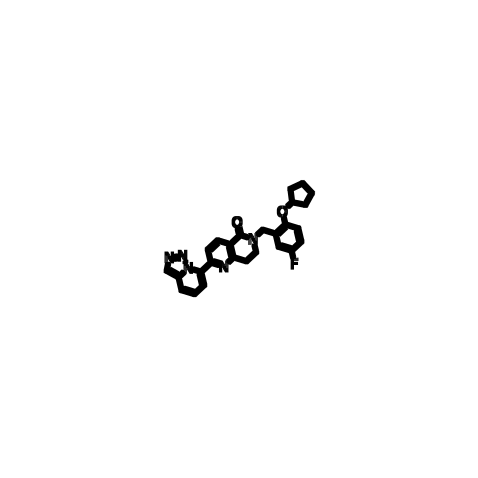 O=C1c2ccc(-c3cccc4cnnn34)nc2CCN1Cc1cc(F)ccc1OC1CCCC1